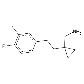 Cc1cc(CCC2(CN)CC2)ccc1F